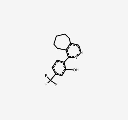 Oc1cc(C(F)(F)F)ccc1-c1nncc2c1CCCCC2